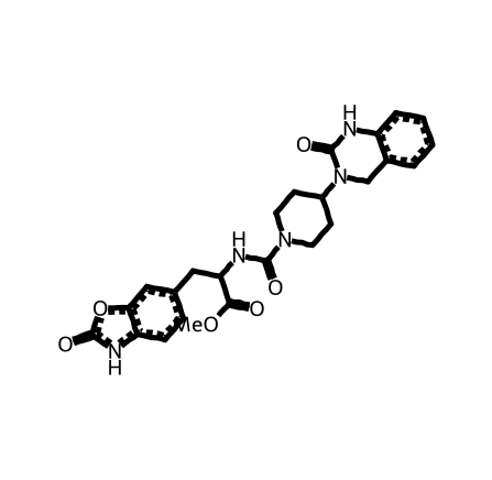 COC(=O)C(Cc1ccc2[nH]c(=O)oc2c1)NC(=O)N1CCC(N2Cc3ccccc3NC2=O)CC1